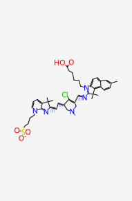 Cc1ccc2c3c(ccc2c1)[N+](CCCCCC(=O)O)=C(/N=C/C1=C(Cl)C(=C/C=C2/N=C4C(=CC=CN4CCCCS(=O)(=O)[O-])C2(C)C)/CN(C)C1)C3(C)C